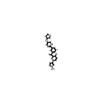 CCn1cc(-n2ccc(=O)c(C(C)c3cccc(-c4ncc(OC5CCOC5)cn4)c3)n2)cn1